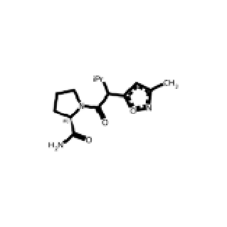 Cc1cc(C(C(=O)N2CCC[C@@H]2C(N)=O)C(C)C)on1